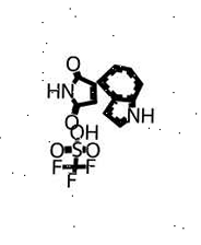 O=C1C=CC(=O)N1.O=S(=O)(O)C(F)(F)F.c1ccc2[nH]ccc2c1